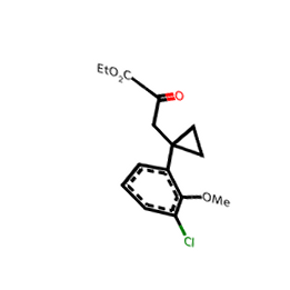 CCOC(=O)C(=O)CC1(c2cccc(Cl)c2OC)CC1